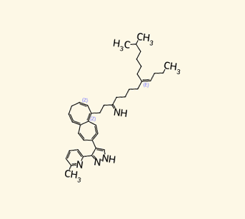 CCC/C=C(/CCCCC(=N)CCC1=C2\C=C=C(c3c[nH]nc3-c3cccc(C)n3)C=CC2=C=CC/C=C\1)CCCCC(C)C